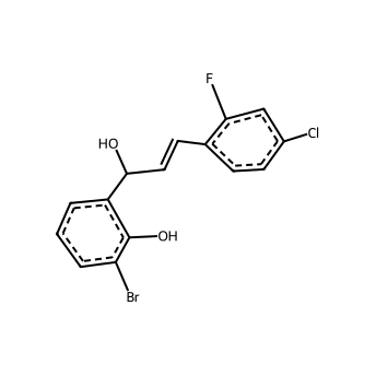 Oc1c(Br)cccc1C(O)/C=C/c1ccc(Cl)cc1F